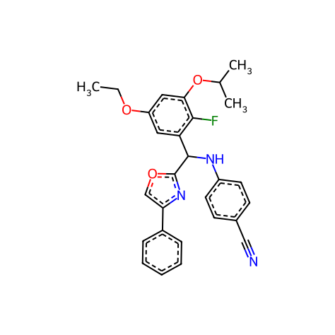 CCOc1cc(OC(C)C)c(F)c(C(Nc2ccc(C#N)cc2)c2nc(-c3ccccc3)co2)c1